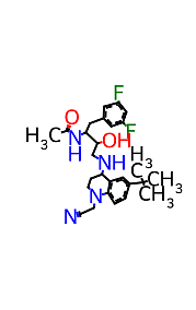 CC(=O)NC(Cc1cc(F)cc(F)c1)C(O)CNC1CCN(CC#N)c2ccc(C(C)(C)C)cc21